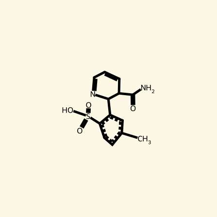 Cc1ccc(S(=O)(=O)O)c(C2N=CC=CC2C(N)=O)c1